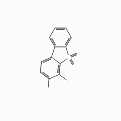 Nc1ccc2c(c1N)S(=O)(=O)c1ccccc1-2